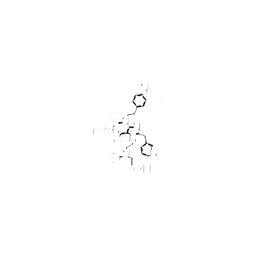 CCCn1c(=O)c2c(nc(Cc3cccnc3)n2CCN(CC)CCO)n(CCc2ccc([N+](=O)[O-])cc2)c1=O